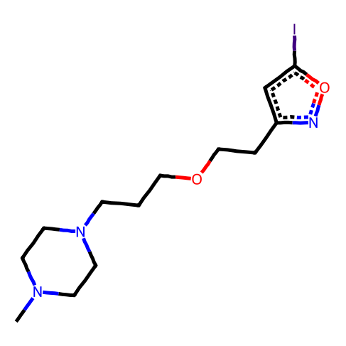 CN1CCN(CCCOCCc2cc(I)on2)CC1